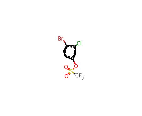 O=S(=O)(Oc1ccc(Br)c(Cl)c1)C(F)(F)F